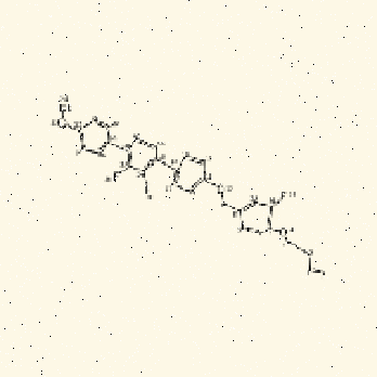 C=CCCOc1ccc(COc2ccc(-c3ccc(-c4ccc(OCC)cc4)c(F)c3F)cc2)cc1F